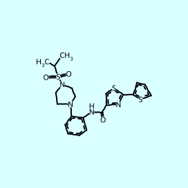 CC(C)S(=O)(=O)N1CCN(c2ccccc2NC(=O)c2csc(-c3cccs3)n2)CC1